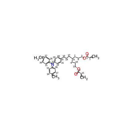 C=CC(=O)OCCCC(CCCOC(=O)C=C)CCCc1ccc(N(c2ccc(C)cc2)c2ccc(C)cc2)cc1